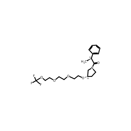 C[C@H](C(=O)N1CC[C@H](OCCOCCOCCOC(F)(F)F)C1)c1ccccc1